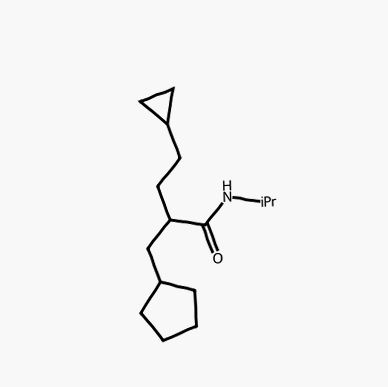 CC(C)NC(=O)C(CCC1CC1)CC1CCCC1